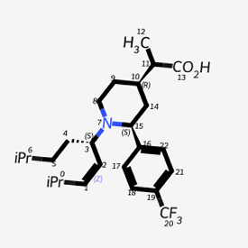 CC(C)/C=C\[C@H](CCC(C)C)N1CC[C@@H](C(C)C(=O)O)C[C@H]1c1ccc(C(F)(F)F)cc1